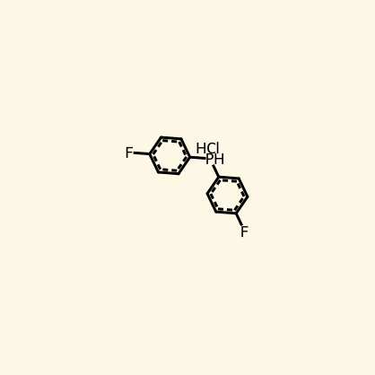 Cl.Fc1ccc(Pc2ccc(F)cc2)cc1